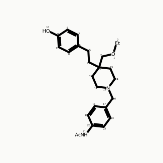 CCOCC1(CCc2ccc(O)cc2)CCN(Cc2ccc(NC(C)=O)cc2)CC1